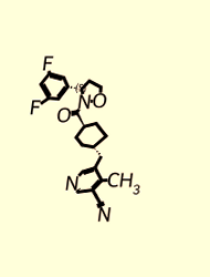 Cc1c(C#N)cncc1C[C@H]1CC[C@H](C(=O)N2OCC[C@H]2c2cc(F)cc(F)c2)CC1